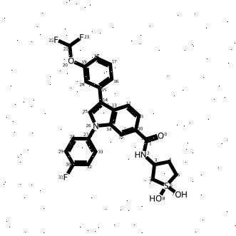 O=C(NC1CCS(O)(O)C1)c1ccc2c(-c3cccc(OC(F)F)c3)cn(-c3ccc(F)cc3)c2c1